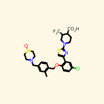 Cc1cc(CN2CC[S+]([O-])CC2)ccc1COc1ccc(Cl)cc1-c1csc(N2CCC(C(=O)O)C(C(F)(F)F)C2)n1